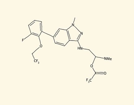 CNC(CNc1nn(C)c2cc(-c3cccc(F)c3OCC(F)(F)F)ccc12)OC(=O)C(F)(F)F